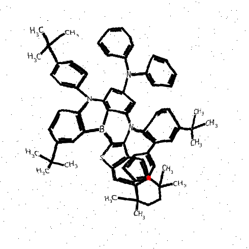 CC(C)(C)c1ccc(N2c3ccc(C(C)(C)C)cc3B3c4sc5cc6c(cc5c4N(c4ccc(C(C)(C)C)cc4-c4ccccc4)c4cc(N(c5ccccc5)c5ccccc5)cc2c43)C(C)(C)CCC6(C)C)cc1